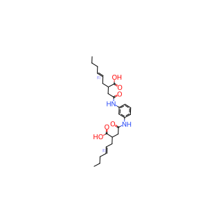 CCC/C=C/CC(CC(=O)Nc1cccc(NC(=O)CC(C/C=C/CCC)C(=O)O)c1)C(=O)O